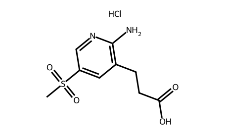 CS(=O)(=O)c1cnc(N)c(CCC(=O)O)c1.Cl